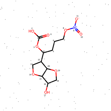 O=C(O)OC(CCCO[N+](=O)[O-])C1COC2C(O)COC12